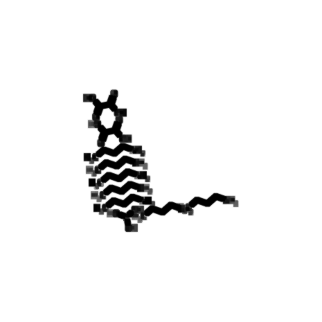 CCCCN.CCCCN.CCCCN.CCCCN.CCCCN.CCCCN.CCCCN.O=C(O)C(=O)O.O=C(O)C(=O)O.OB(O)O